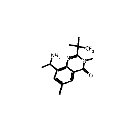 Cc1cc(C(C)N)c2nc(C(C)(C)C(F)(F)F)n(C)c(=O)c2c1